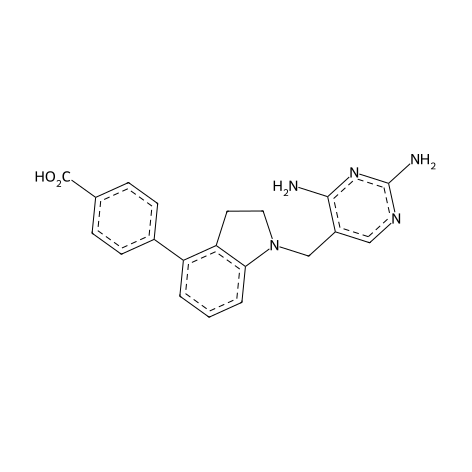 Nc1ncc(CN2CCc3c(-c4ccc(C(=O)O)cc4)cccc32)c(N)n1